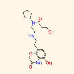 COCCC(=O)N(CCNCCc1ccc(O)c2c1OCC(=O)N2)C1CCCC1